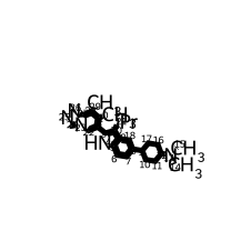 Cc1c(-c2[nH]c3ccc(C4CCC(N(C)C)CC4)cc3c2C(C)C)cn2cnnc2c1C